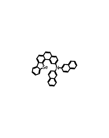 c1ccc2cc(N(c3ccc4ccccc4c3)c3ccc4ccc5ccc6c7ccccc7[se]c6c5c4c3)ccc2c1